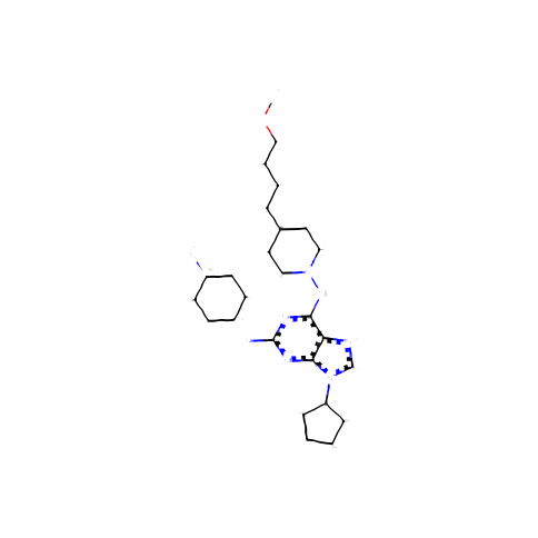 CCCOCCCCC1CCN(Nc2nc(N[C@H]3CC[C@H](N)CC3)nc3c2ncn3C2CCCC2)CC1